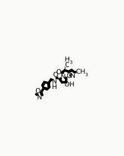 CC[C@@H](C(=O)N1C[C@H](O)C[C@H]1C(=O)NCc1ccc(-c2cnco2)cc1)c1cc(C)no1